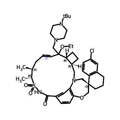 CCOC1(CN2CCN(C(C)(C)C)CC2)/C=C/C[C@H](C)[C@@H](C)S(=O)(=O)NC(=O)c2ccc3c(c2)N(C[C@@H]2CC[C@H]21)C[C@@]1(CCCc2cc(Cl)ccc21)CO3